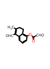 CC1=C(C=O)c2cccc(OC(=O)C=O)c2CC1